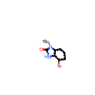 CC(C)(C)n1c(=O)[nH]c2c(Br)cccc21